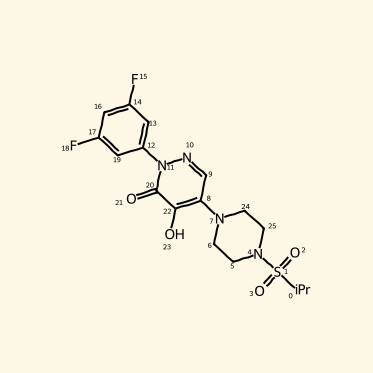 CC(C)S(=O)(=O)N1CCN(c2cnn(-c3cc(F)cc(F)c3)c(=O)c2O)CC1